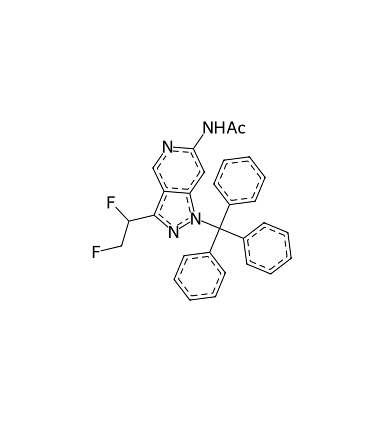 CC(=O)Nc1cc2c(cn1)c(C(F)CF)nn2C(c1ccccc1)(c1ccccc1)c1ccccc1